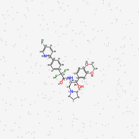 O=C(N[C@H](CN1CCCC1)[C@H](O)c1ccc2c(c1)OCCO2)C(F)(F)c1ccc(-c2ccc(F)cn2)cc1